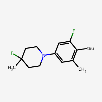 Cc1cc(N2CCC(C)(F)CC2)cc(F)c1C(C)(C)C